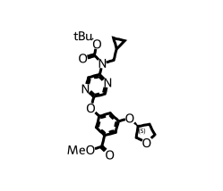 COC(=O)c1cc(Oc2cnc(N(CC3CC3)C(=O)OC(C)(C)C)cn2)cc(O[C@H]2CCOC2)c1